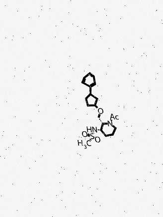 CC(=O)N1CCC[C@H](NS(C)(=O)=O)[C@@H]1COC1CCC(c2ccccc2)C1